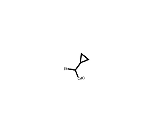 CCC(C=O)C1CC1